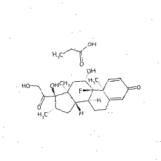 CCC(=O)O.C[C@H]1C[C@H]2[C@@H]3CCC4=CC(=O)C=C[C@]4(C)[C@@]3(F)[C@@H](O)C[C@]2(C)[C@@]1(O)C(=O)CO